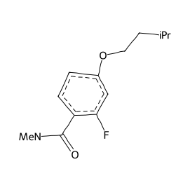 CNC(=O)c1ccc(OCCC(C)C)cc1F